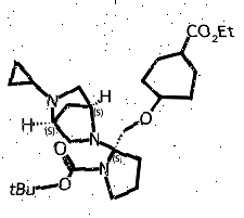 CCOC(=O)C1CCC(OC[C@]2(N3C[C@@H]4C[C@H]3CN4C3CC3)CCCN2C(=O)OC(C)(C)C)CC1